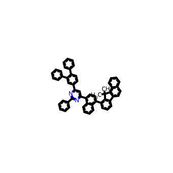 CC1(C)c2c(cccc2-c2ccc(-c3cc(-c4ccc(-c5ccccc5)c(-c5ccccc5)c4)nc(-c4ccccc4)n3)c3ccccc23)-c2ccc3ccccc3c21